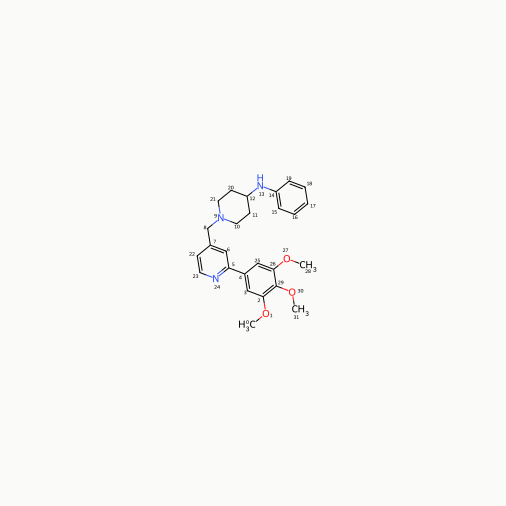 COc1cc(-c2cc(CN3CCC(Nc4ccccc4)CC3)ccn2)cc(OC)c1OC